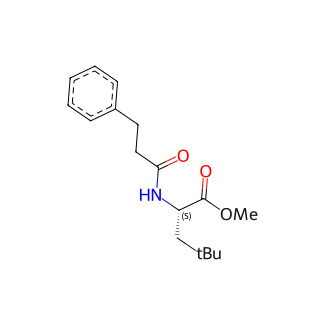 COC(=O)[C@H](CC(C)(C)C)NC(=O)CCc1ccccc1